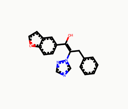 OC(=C(Cc1ccccc1)n1cncn1)c1ccc2occc2c1